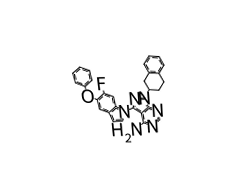 Nc1ncnc2c1c(-n1ccc3cc(Oc4ccccc4)c(F)cc31)nn2C1CCc2ccccc2C1